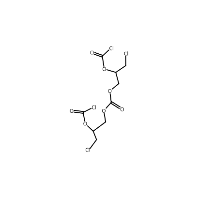 O=C(Cl)OC(CCl)COC(=O)OCC(CCl)OC(=O)Cl